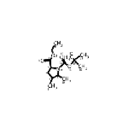 CCOC(=O)C1CC(C)C(C)N1C(=O)OC(C)(C)C